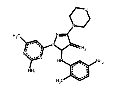 C=C1C(N2CCOCC2)=NN(c2cc(C)nc(N)n2)C1Nc1cc(N)ccc1C